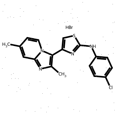 Br.Cc1ccn2c(-c3csc(Nc4ccc(Cl)cc4)n3)c(C)nc2c1